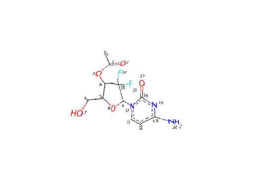 CC(=O)OC1C(CO)OC(n2ccc(N)nc2=O)C1(F)F